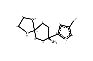 NC1(c2cc(Br)cs2)CCC2(CC1)OCCO2